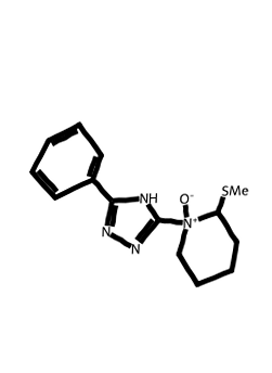 CSC1CCCC[N+]1([O-])c1nnc(-c2ccccc2)[nH]1